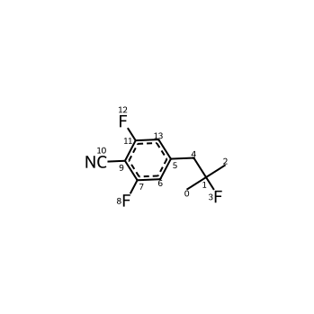 CC(C)(F)Cc1cc(F)c(C#N)c(F)c1